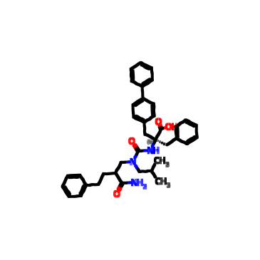 CC(C)CN(CC(CCc1ccccc1)C(N)=O)C(=O)N[C@@](Cc1ccccc1)(Cc1ccc(-c2ccccc2)cc1)C(=O)O